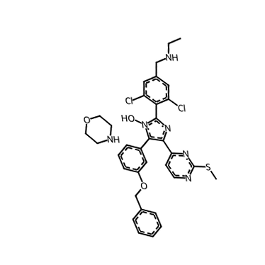 C1COCCN1.CCNCc1cc(Cl)c(-c2nc(-c3ccnc(SC)n3)c(-c3cccc(OCc4ccccc4)c3)n2O)c(Cl)c1